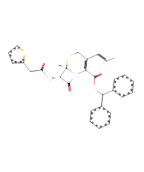 CCC=CC1=C(C(=O)OC(c2ccccc2)c2ccccc2)N2C(=O)[C@@H](NC(=O)Cc3cccs3)[C@@H]2SC1